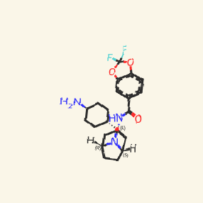 N[C@H]1CC[C@H](CN2[C@@H]3CC[C@H]2C[C@@H](NC(=O)c2ccc4c(c2)OC(F)(F)O4)C3)CC1